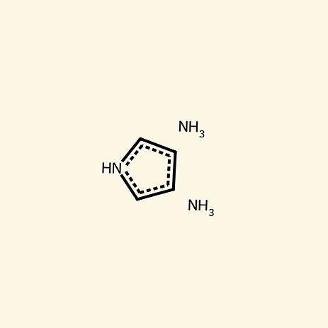 N.N.c1cc[nH]c1